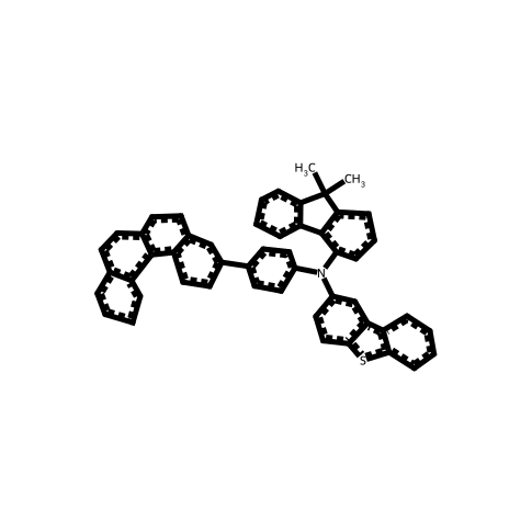 CC1(C)c2ccccc2-c2c(N(c3ccc(-c4ccc5c(ccc6ccc7ccccc7c65)c4)cc3)c3ccc4sc5ccccc5c4c3)cccc21